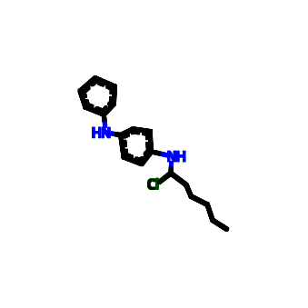 CCCCCC(Cl)Nc1ccc(Nc2ccccc2)cc1